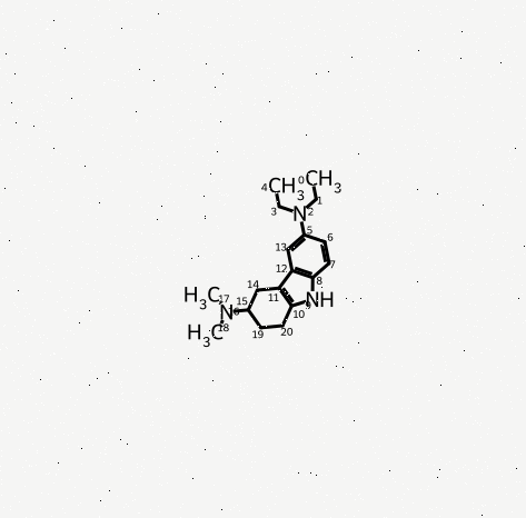 CCN(CC)c1ccc2[nH]c3c(c2c1)CC(N(C)C)CC3